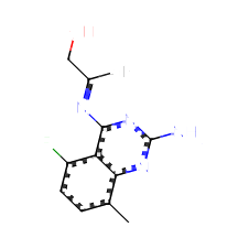 CCCC/C(CO)=N\c1nc(N)nc2c(C)ccc(F)c12